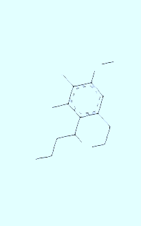 COc1cc2c(c(Cl)c1Cl)C(CCCl)OCC2